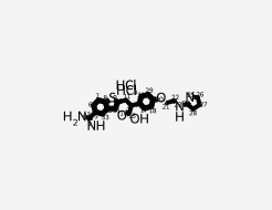 Cl.Cl.N=C(N)c1ccc2sc(CC(C(=O)O)c3ccc(OCCNC4=NCCC4)cc3)cc2c1